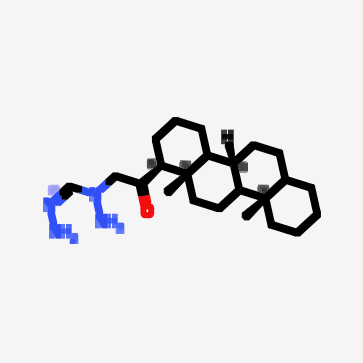 C[C@]12CCCCC1CC[C@@H]1C2CC[C@@]2(C)C1CCC[C@@H]2C(=O)CN(N)/C=N\N